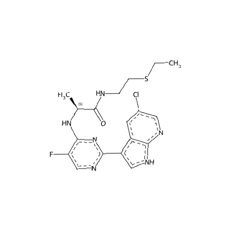 CCSCCNC(=O)[C@H](C)Nc1nc(-c2c[nH]c3ncc(Cl)cc23)ncc1F